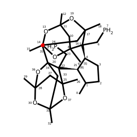 CC1CC[C@H](C2(CP)C3(C)CC4(C)OC(C)(CC2(C)O4)O3)[C@@H]1C1(CP)C2(C)CC3(C)OC(C)(CC1(C)O3)O2